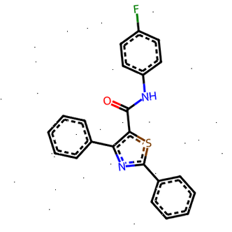 O=C(Nc1ccc(F)cc1)c1sc(-c2ccccc2)nc1-c1ccccc1